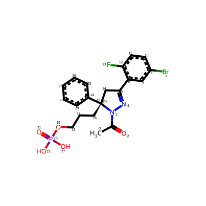 CC(=O)N1N=C(c2cc(Br)ccc2F)C[C@@]1(CCCOP(=O)(O)O)c1ccccc1